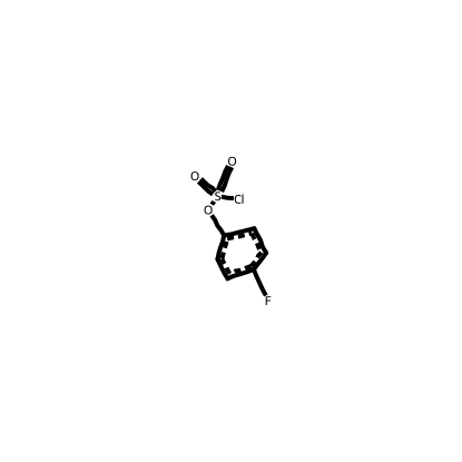 O=S(=O)(Cl)Oc1ccc(F)cc1